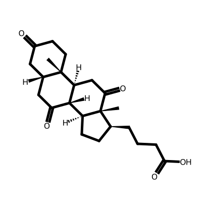 C[C@]12CCC(=O)C[C@H]1CC(=O)[C@@H]1[C@@H]2CC(=O)[C@]2(C)[C@@H](CCCC(=O)O)CC[C@@H]12